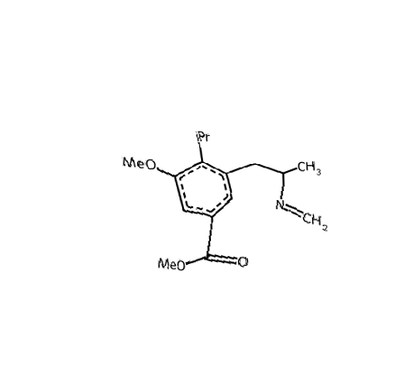 C=NC(C)Cc1cc(C(=O)OC)cc(OC)c1C(C)C